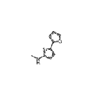 CNc1ccc(-c2ccco2)s1